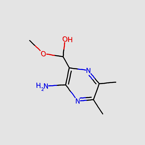 COC(O)c1nc(C)c(C)nc1N